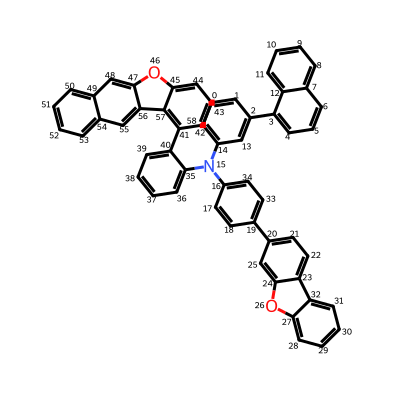 c1cc(-c2cccc3ccccc23)cc(N(c2ccc(-c3ccc4c(c3)oc3ccccc34)cc2)c2ccccc2-c2cccc3oc4cc5ccccc5cc4c23)c1